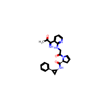 CC(=O)C(=N)c1cccnc1NCC(=O)N1C=CC[C@H]1C(=O)N[C@@H]1C[C@H]1c1ccccc1